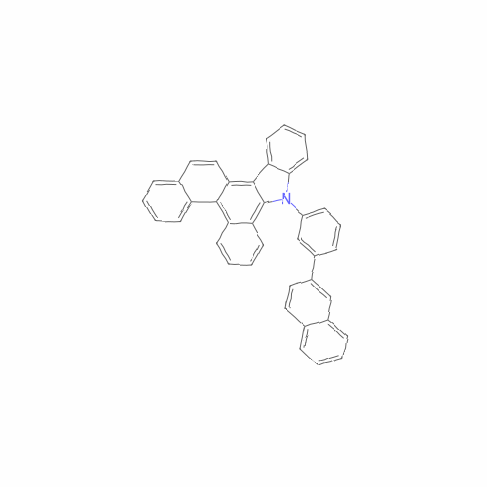 c1cc(-c2ccc3ccccc3c2)cc(-n2c3ccccc3c3c4ccc5ccccc5c4c4ccccc4c32)c1